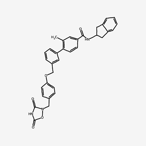 Cc1cc(C(=O)NC2Cc3ccccc3C2)ccc1-c1cccc(COc2ccc(Cn3oc(=O)[nH]c3=O)cc2)c1